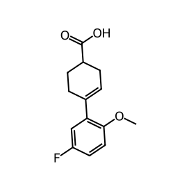 COc1ccc(F)cc1C1=CCC(C(=O)O)CC1